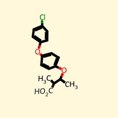 CC(Oc1ccc(Oc2ccc(Cl)cc2)cc1)C(C)C(=O)O